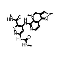 CNC(=O)Nc1cc(Nc2nccc3c2N(C)Cc2cn(C)nc2-3)c(C(=O)NC)nn1